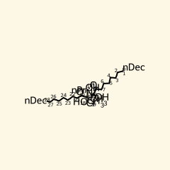 CCCCCCCCCCCCCCCCCC(=O)C(C)(O)[N+](O)(CCC)C(C)(O)C(=O)CCCCCCCCCCCCCCCCC.[Cl-]